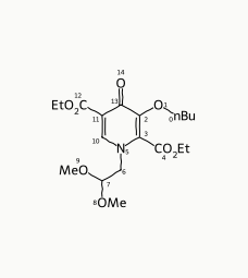 CCCCOc1c(C(=O)OCC)n(CC(OC)OC)cc(C(=O)OCC)c1=O